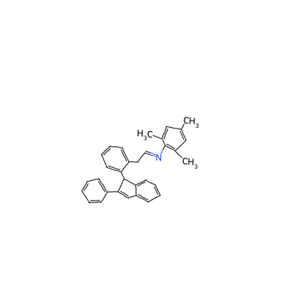 Cc1cc(C)c(N=CCc2ccccc2C2C(c3ccccc3)=Cc3ccccc32)c(C)c1